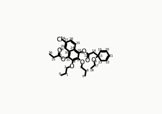 CCCOc1c(OCCC)c(OC(=O)CC2(OCC)C=CC=CC2)c2ccc(Cl)cc2c1OC(=O)CC